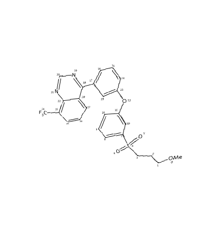 COCCCS(=O)(=O)c1cccc(Oc2cccc(-c3ncnc4c(C(F)(F)F)cccc34)c2)c1